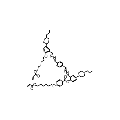 C=CC(=O)OCCCCCCOc1ccc(C(=O)Oc2ccc(C3CCC(CCC)CC3)cc2/C=N/N=C/c2ccc(/C=N/N=C/c3cc(C4CCC(CCC)CC4)ccc3OCCCCCCOC(=O)C=C)cc2)cc1